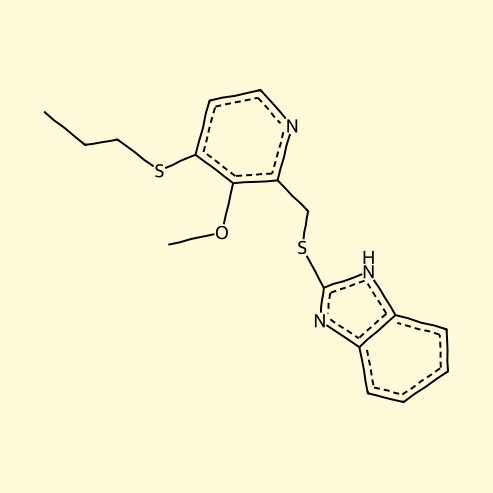 CCCSc1ccnc(CSc2nc3ccccc3[nH]2)c1OC